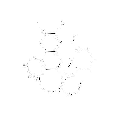 O=C1c2c(O)c(=O)ccn2N([C@@H]2c3ccccc3CSc3ccccc32)[C@H]2COCCN12